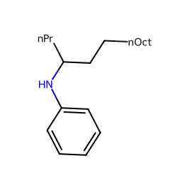 CCCCCCCCCCC(CCC)Nc1ccccc1